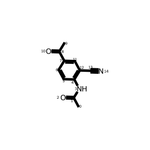 CC(=O)Nc1ccc(C(C)=O)cc1C#N